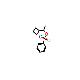 CC(OS(=O)(=O)c1ccccc1)C1CCC1